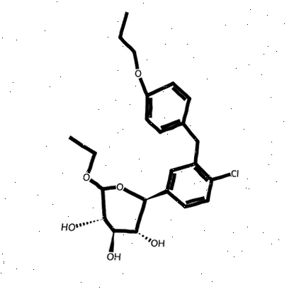 CCCOc1ccc(Cc2cc([C@@H]3OC(OCC)[C@@H](O)[C@H](O)[C@H]3O)ccc2Cl)cc1